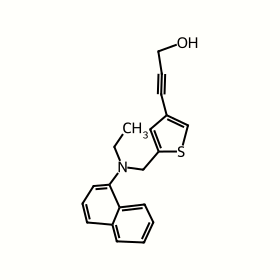 CCN(Cc1cc(C#CCO)cs1)c1cccc2ccccc12